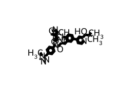 Cc1nocc1C(=O)NC(Cc1cc(-c2ccnc(C(O)C(C)C)c2)ccc1Cl)C(=O)Nc1ccc(-c2nncn2C)cc1